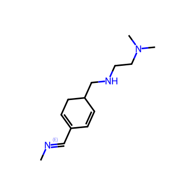 C/N=C/C1=CCC(CNCCN(C)C)C=C1